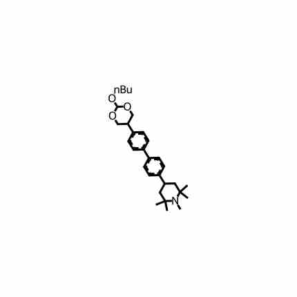 CCCCOC1OCC(c2ccc(-c3ccc(C4CC(C)(C)N(C)C(C)(C)C4)cc3)cc2)CO1